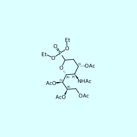 CCOP(=O)(OCC)C1C[C@H](OC(C)=O)[C@@H](NC(C)=O)[C@H]([C@H](OC(C)=O)[C@@H](COC(C)=O)OC(C)=O)O1